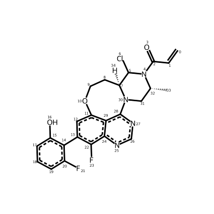 C=CC(=O)N1C(Cl)[C@@H]2CCOc3cc(-c4c(O)cccc4F)c(F)c4ncnc(c34)N2C[C@H]1C